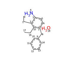 CCc1c(N)ccc(Cc2ccccc2)c1CC.O